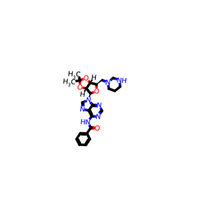 CC1(C)O[C@@H]2[C@H](O1)[C@@H](CN1CCCNC1)O[C@H]2n1cnc2c(NC(=O)c3ccccc3)ncnc21